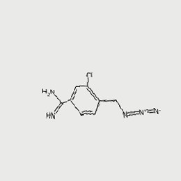 [N-]=[N+]=NCc1ccc(C(=N)N)cc1Cl